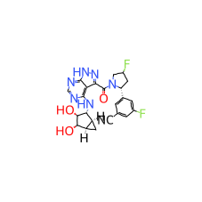 N#Cc1cc(F)cc([C@H]2C[C@H](F)CN2C(=O)c2n[nH]c3ncnc(N[C@H]4[C@H](O)[C@H](O)[C@@H]5C[C@@H]54)c23)c1